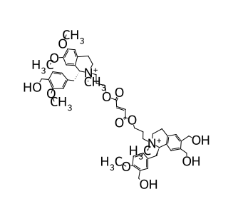 COc1ccc(C[C@@H]2c3cc(CO)c(CO)cc3CC[N@@+]2(C)CCCOC(=O)/C=C/C(=O)OCCC[N@+]2(C)CCc3cc(OC)c(OC)cc3[C@H]2Cc2ccc(CO)c(OC)c2)cc1CO